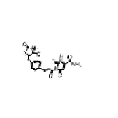 NC(=O)c1cc(=O)n(C(=O)C=Cc2ccc(CC3SC(=O)NC3=O)cc2)c(=O)[nH]1